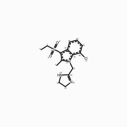 CCS(=O)(=O)c1c(C)n(CC2=NCCN2)c2c(Cl)cccc12